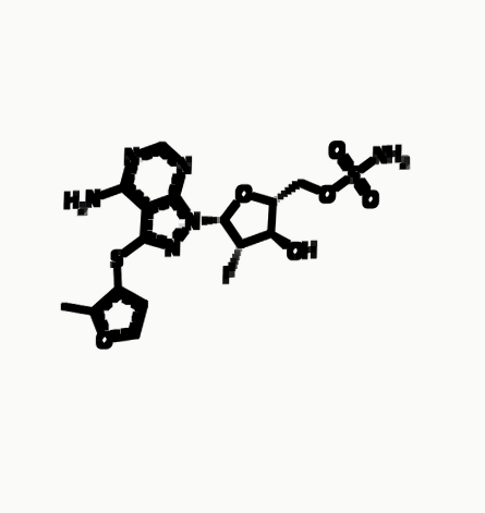 Cc1occc1Sc1nn([C@@H]2O[C@H](COS(N)(=O)=O)[C@@H](O)[C@@H]2F)c2ncnc(N)c12